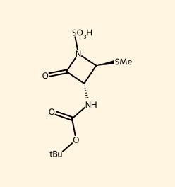 CS[C@H]1[C@H](NC(=O)OC(C)(C)C)C(=O)N1S(=O)(=O)O